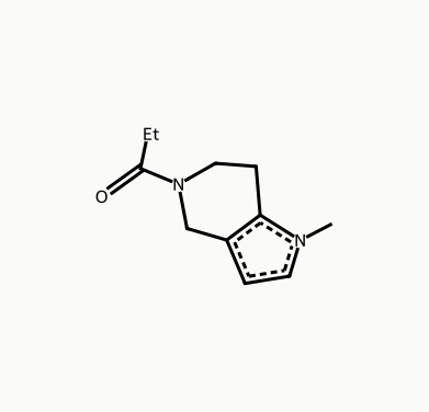 CCC(=O)N1CCc2c(ccn2C)C1